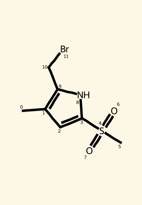 Cc1cc(S(C)(=O)=O)[nH]c1CBr